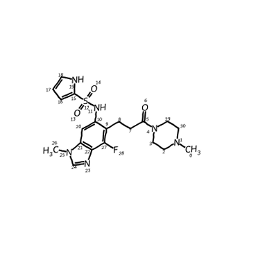 CN1CCN(C(=O)CCc2c(NS(=O)(=O)c3ccc[nH]3)cc3c(ncn3C)c2F)CC1